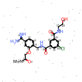 CNC(=O)COc1cc(C(=N)N)ccc1CNC(=O)c1cc(Cl)cc(C(=O)NCCO)c1